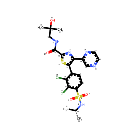 C[C@H](NS(=O)(=O)c1ccc(-c2sc(C(=O)NCC(C)(C)O)nc2-c2cnccn2)c(Cl)c1Cl)C(F)(F)F